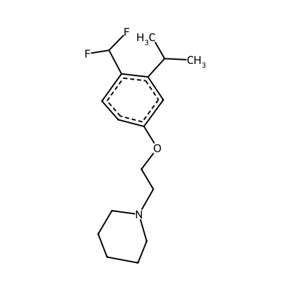 CC(C)c1cc(OCCN2CCCCC2)ccc1C(F)F